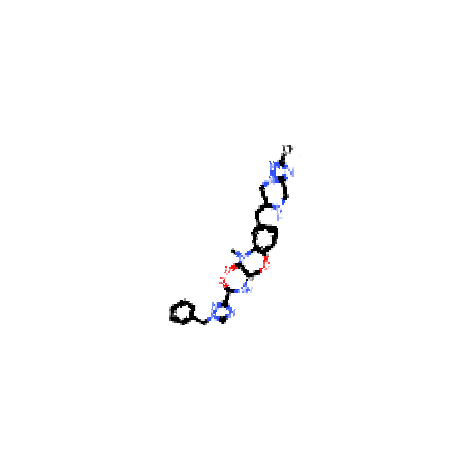 CN1C(=O)[C@H](NC(=O)c2ncn(Cc3ccccc3)n2)COc2ccc(CC3Cn4nc(C(F)(F)F)nc4CN3)cc21